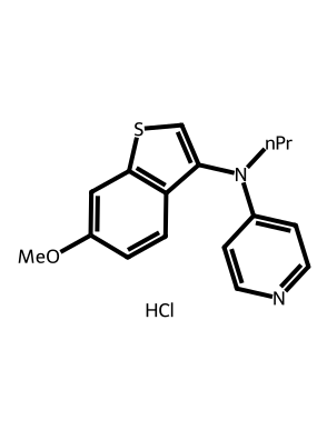 CCCN(c1ccncc1)c1csc2cc(OC)ccc12.Cl